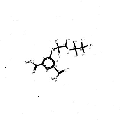 COC(=O)c1cc(OC(F)(F)C(F)OC(F)(F)C(F)(F)C(F)(F)F)cc(C(=O)OC)c1